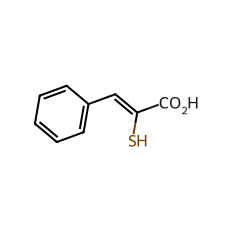 O=C(O)C(S)=Cc1ccccc1